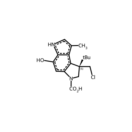 Cc1c[nH]c2c(O)cc3c(c12)[C@@](CCl)(C(C)(C)C)CN3C(=O)O